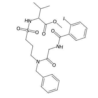 COC(=O)C(NS(=O)(=O)CCCN(Cc1ccccc1)C(=O)CNC(=O)c1ccccc1I)C(C)C